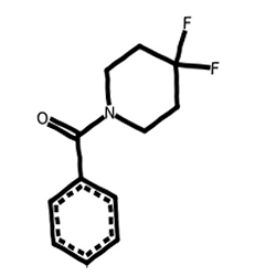 O=C(c1cc[c]cc1)N1CCC(F)(F)CC1